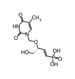 Cc1cn(CO[C@H](/C=C/P(=O)(O)O)CO)c(=O)[nH]c1=O